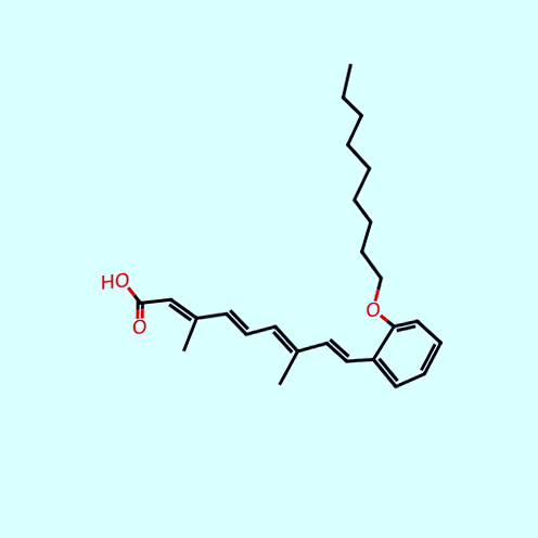 CCCCCCCCCOc1ccccc1/C=C/C(C)=C/C=C/C(C)=C/C(=O)O